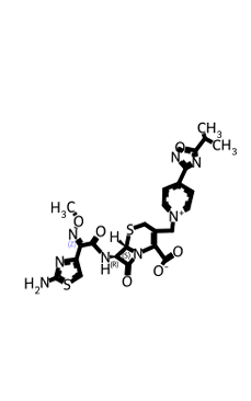 CO/N=C(\C(=O)N[C@@H]1C(=O)N2C(C(=O)[O-])=C(C[n+]3ccc(-c4noc(C(C)C)n4)cc3)CS[C@@H]12)c1csc(N)n1